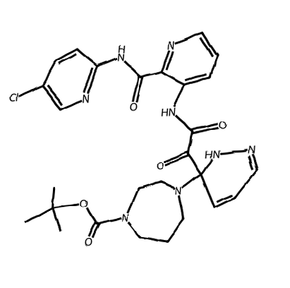 CC(C)(C)OC(=O)N1CCCN(C2(C(=O)C(=O)Nc3cccnc3C(=O)Nc3ccc(Cl)cn3)C=CC=NN2)CC1